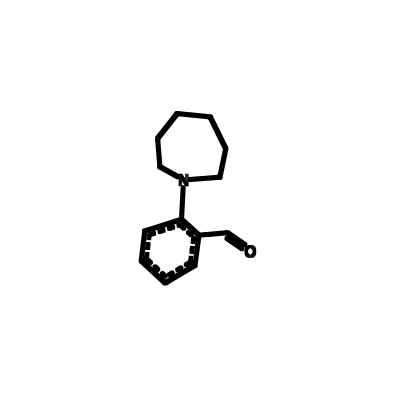 O=Cc1ccccc1N1CCCCCC1